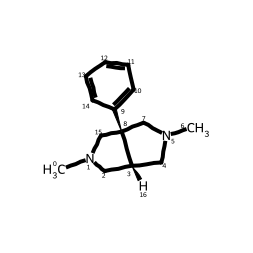 CN1C[C@H]2CN(C)C[C@@]2(c2ccccc2)C1